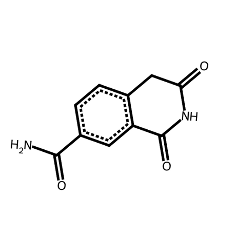 NC(=O)c1ccc2c(c1)C(=O)NC(=O)C2